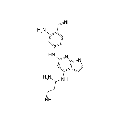 N=CCC(N)Nc1nc(Nc2ccc(C=N)c(N)c2)nc2[nH]ccc12